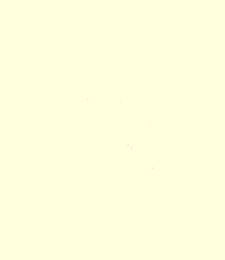 CC(N=C=S)c1cccc2ccccc12